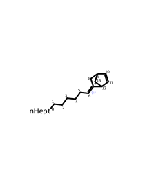 CCCCCCCCCCCC/C=C1\CC2C=CC1C2